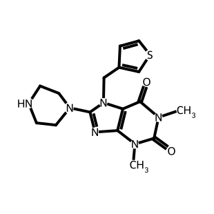 Cn1c(=O)c2c(nc(N3CCNCC3)n2Cc2ccsc2)n(C)c1=O